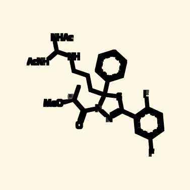 CO[C@@H](C)C(=O)N1N=C(c2cc(F)ccc2F)SC1(CCCNC(NC(C)=O)NC(C)=O)c1ccccc1